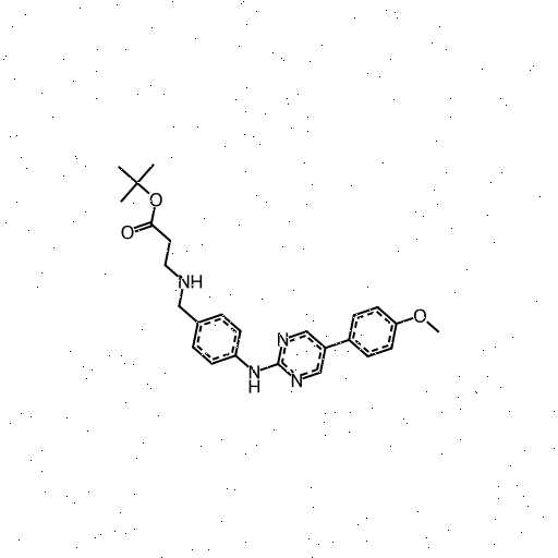 COc1ccc(-c2cnc(Nc3ccc(CNCCC(=O)OC(C)(C)C)cc3)nc2)cc1